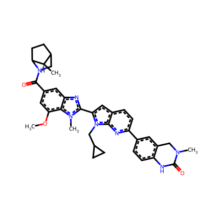 COc1cc(C(=O)N2CC3CCC2[C@@H]3C)cc2nc(-c3cc4ccc(-c5ccc6c(c5)CN(C)C(=O)N6)nc4n3CC3CC3)n(C)c12